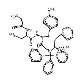 NCC(=O)NC(CS)C(=O)NC(Cc1ccc(O)cc1)C(=O)N([C@@H](Cc1ccccc1)C(=O)O)C(c1ccccc1)(c1ccccc1)c1ccccc1